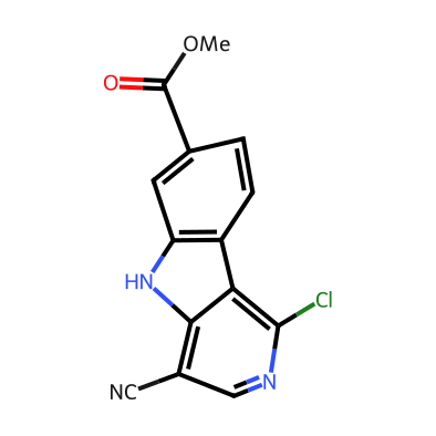 COC(=O)c1ccc2c(c1)[nH]c1c(C#N)cnc(Cl)c12